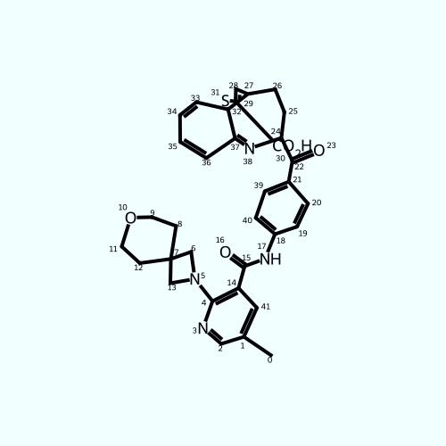 Cc1cnc(N2CC3(CCOCC3)C2)c(C(=O)Nc2ccc(C(=O)C3CCC4C=C(C(=O)O)SC45C=CC=CC5=N3)cc2)c1